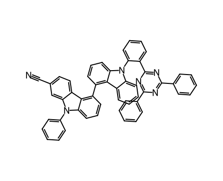 N#Cc1ccc2c3c(-c4cccc5c4c4ccccc4n5-c4ccccc4-c4nc(-c5ccccc5)nc(-c5ccccc5)n4)cccc3n(-c3ccccc3)c2c1